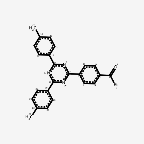 CCC(=O)c1ccc(-c2nc(-c3ccc(C)cc3)nc(-c3ccc(C)cc3)n2)cc1